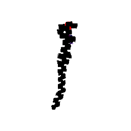 CCCCCCCCCCCCCCCCCCCP(I)c1cccc(OC)c1